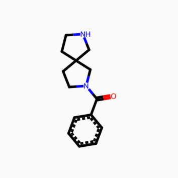 O=C(c1ccccc1)N1CCC2(CCNC2)C1